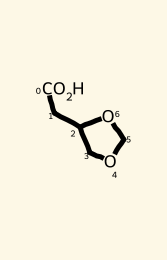 O=C(O)CC1COCO1